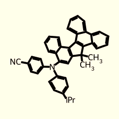 CC(C)c1ccc(N(c2ccc(C#N)cc2)c2cc3c(c4ccccc24)-c2c(c4ccccc4c4ccccc24)C3(C)C)cc1